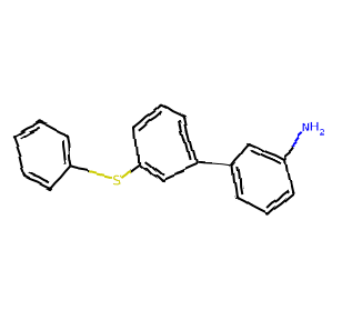 Nc1cccc(-c2cccc(Sc3ccccc3)c2)c1